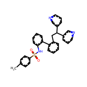 Cc1ccc(S(=O)(=O)Nc2ccccc2-c2ccccc2CC(c2cccnc2)c2cccnc2)cc1